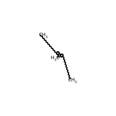 CCCCCCCCCCCCCCCCCCc1ccc2c3ccc(CCCCCCCCCCCCCCCCCC)cc3n(C)c2c1